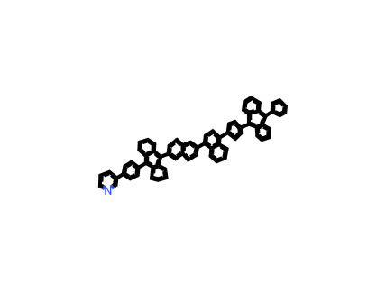 c1ccc(-c2c3ccccc3c(-c3ccc(-c4ccc(-c5ccc6cc(-c7c8ccccc8c(-c8ccc(-c9cccnc9)cc8)c8ccccc78)ccc6c5)c5ccccc45)cc3)c3ccccc23)cc1